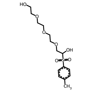 Cc1ccc(S(=O)(=O)C(O)COCCOCCOCCO)cc1